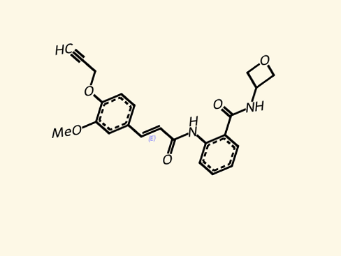 C#CCOc1ccc(/C=C/C(=O)Nc2ccccc2C(=O)NC2COC2)cc1OC